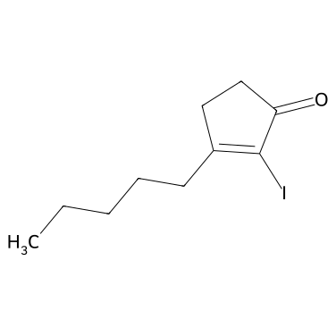 CCCCCC1=C(I)C(=O)CC1